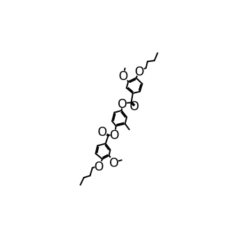 CCCCOc1ccc(C(=O)Oc2ccc(OC(=O)c3ccc(OCCCC)c(OC)c3)c(C)c2)cc1OC